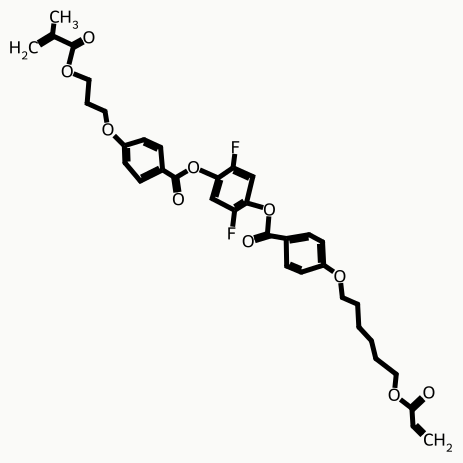 C=CC(=O)OCCCCCCOc1ccc(C(=O)Oc2cc(F)c(OC(=O)c3ccc(OCCCOC(=O)C(=C)C)cc3)cc2F)cc1